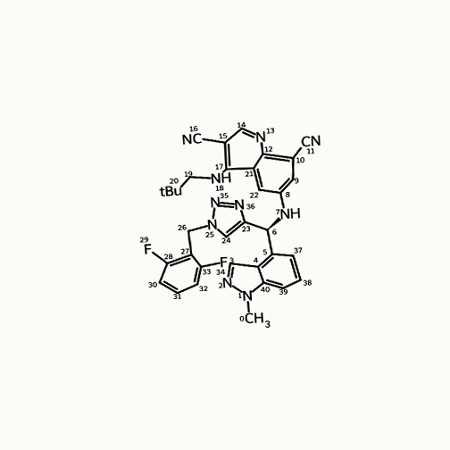 Cn1ncc2c([C@H](Nc3cc(C#N)c4ncc(C#N)c(NCC(C)(C)C)c4c3)c3cn(Cc4c(F)cccc4F)nn3)cccc21